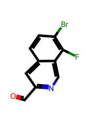 O=Cc1cc2ccc(Br)c(F)c2cn1